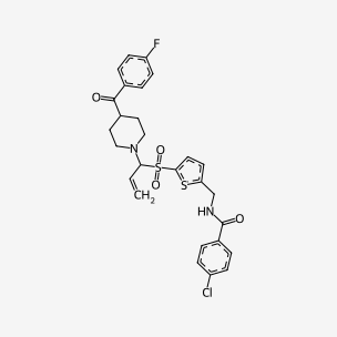 C=CC(N1CCC(C(=O)c2ccc(F)cc2)CC1)S(=O)(=O)c1ccc(CNC(=O)c2ccc(Cl)cc2)s1